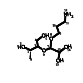 C[C@H](O)C(CO)OC(OCCCN)C(O)O